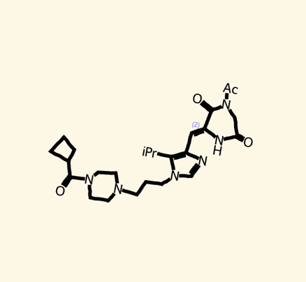 CC(=O)N1CC(=O)N/C(=C\c2ncn(CCCN3CCN(C(=O)C4CCC4)CC3)c2C(C)C)C1=O